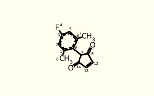 Cc1cc(F)cc(C)c1C1C(=O)C=CC1=O